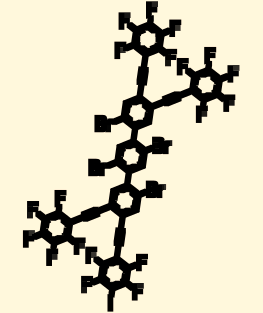 Fc1c(F)c(F)c(C#Cc2cc(Br)c(-c3cc(Br)c(-c4cc(C#Cc5c(F)c(F)c(F)c(F)c5F)c(C#Cc5c(F)c(F)c(I)c(F)c5F)cc4Br)cc3Br)cc2C#Cc2c(F)c(F)c(F)c(F)c2F)c(F)c1F